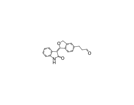 O=CCCc1ccc2c(c1)COC2=C1C(=O)Nc2ccccc21